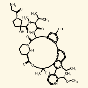 CCn1c(-c2cccnc2[C@H](C)OC)c2c3cc(ccc31)-c1cc(O)cc(c1)C[C@H](NC(=O)[C@H](C(C)C)N(C)C(=O)C1(O)CCN(C(=O)CN)C1)C(=O)N1CCC[C@H](N1)C(=O)OCC(C)(C)C2